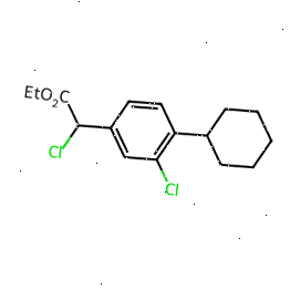 CCOC(=O)C(Cl)c1ccc(C2CCCCC2)c(Cl)c1